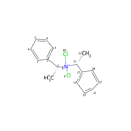 C[C@H](c1ccccc1)[N+](Cl)(Cl)[C@H](C)c1ccccc1